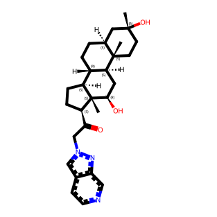 C[C@@]1(O)CC[C@@]2(C)[C@@H](CC[C@@H]3[C@@H]2C[C@@H](O)[C@]2(C)[C@@H](C(=O)Cn4cc5ccncc5n4)CC[C@@H]32)C1